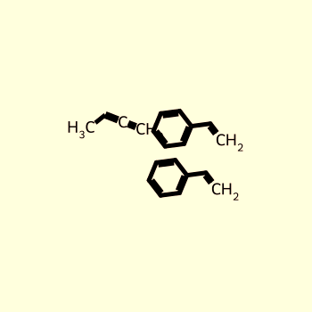 C=C=CC.C=Cc1ccccc1.C=Cc1ccccc1